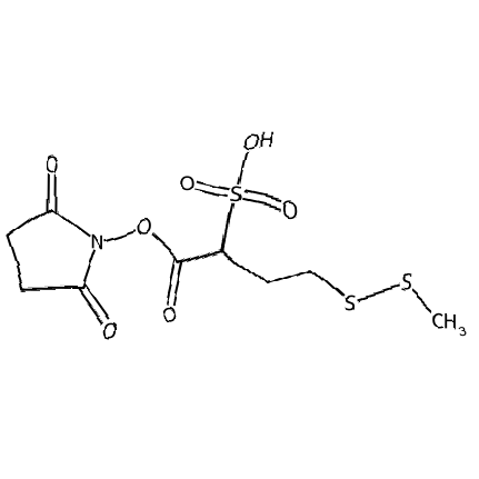 CSSCCC(C(=O)ON1C(=O)CCC1=O)S(=O)(=O)O